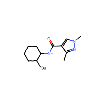 CCC(C)C1CCCCC1NC(=O)c1cn(C)nc1C